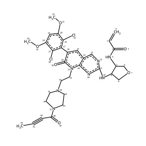 C=CC(=O)NC1COCC1Nc1ncc2cc(-c3c(Cl)c(OC)cc(OC)c3Cl)c(=O)n(CCN3CCN(C(=O)C#CC)CC3)c2n1